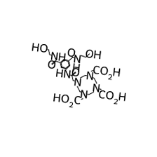 O=C(O)CN1CCN(CC(=O)O)CCN(CC(=O)Nc2cc(C(=O)NCCO)cc(C(=O)NCCO)c2)CCN(CC(=O)O)CC1